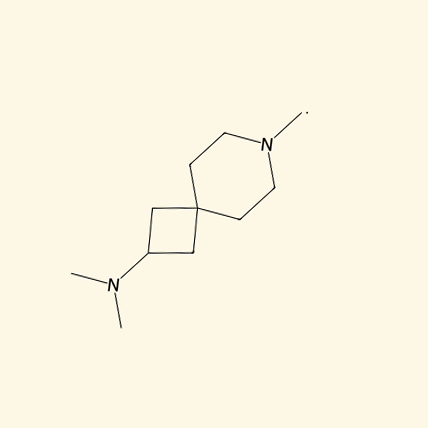 [CH2]N1CCC2(CC1)CC(N(C)C)C2